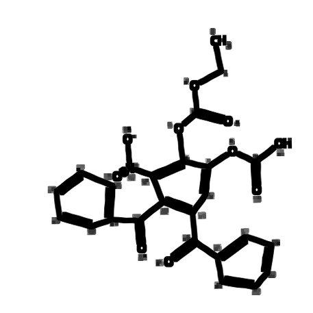 CCOC(=O)Oc1c(OC(=O)O)cc(C(=O)c2ccccc2)c(C(=O)c2ccccc2)c1[N+](=O)[O-]